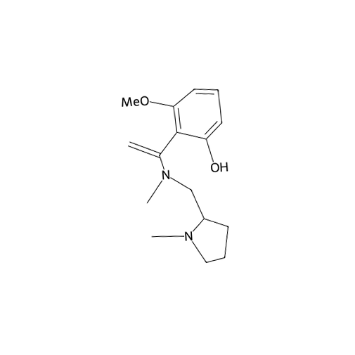 C=C(c1c(O)cccc1OC)N(C)CC1CCCN1C